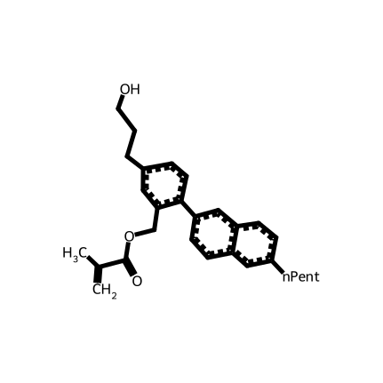 C=C(C)C(=O)OCc1cc(CCCO)ccc1-c1ccc2cc(CCCCC)ccc2c1